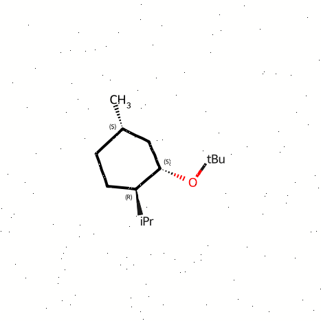 CC(C)[C@H]1CC[C@H](C)C[C@@H]1OC(C)(C)C